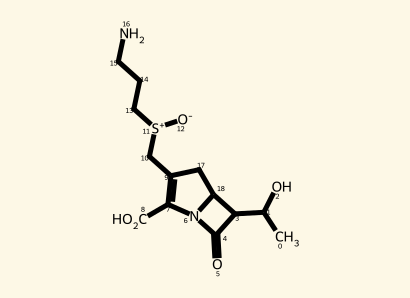 CC(O)C1C(=O)N2C(C(=O)O)=C(C[S+]([O-])CCCN)CC12